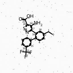 CCc1ccc(-c2cccc(C(F)(F)F)c2)c(-c2nsc(C(=O)O)c2N)c1